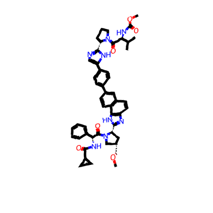 COC[C@H]1C[C@@H](c2nc3ccc4cc(-c5ccc(-c6cnc([C@@H]7CCCN7C(=O)[C@@H](NC(=O)OC)C(C)C)[nH]6)cc5)ccc4c3[nH]2)N(C(=O)[C@H](NC(=O)C2CC2)c2ccccc2)C1